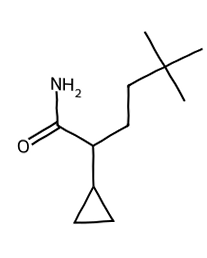 CC(C)(C)CCC(C(N)=O)C1CC1